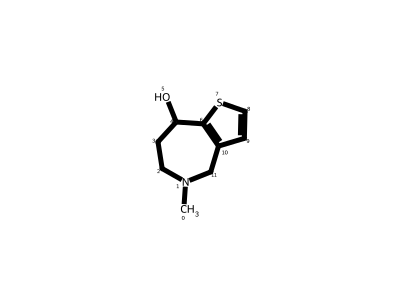 CN1CCC(O)c2sccc2C1